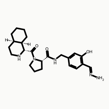 NN=Cc1ccc(CNC(=O)[C@@H]2CCCN2C(=O)[C@@H]2NCC[C@H]3CCCC[C@H]32)cc1O